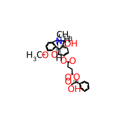 COc1ccc2c3c1O[C@@H]1C(OC(=O)CCC(=O)O[C@H](C(=O)O)c4ccccc4)=CC[C@]4(O)[C@H](C2)N(C)CC[C@@]314